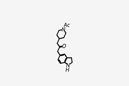 CC(=O)N1CCC(CC(=O)Cc2ccc3c(c2)CCN3)CC1